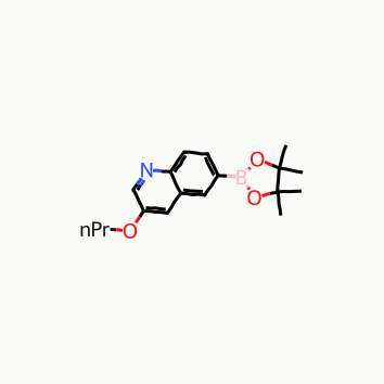 CCCOc1cnc2ccc(B3OC(C)(C)C(C)(C)O3)cc2c1